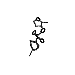 Cc1ccc(S(=O)(=O)OC2CCOC2C)cc1